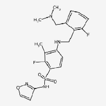 Cc1c(NCc2c(F)cccc2CN(C)C)ccc(S(=O)(=O)Nc2ccon2)c1F